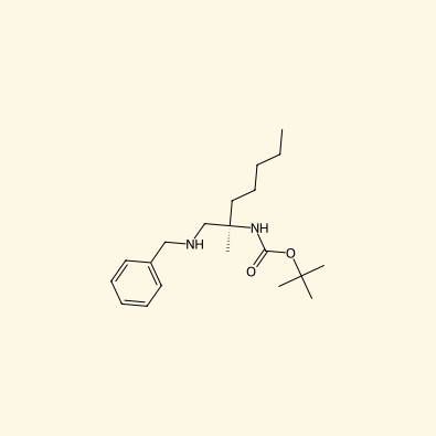 CCCCC[C@](C)(CNCc1ccccc1)NC(=O)OC(C)(C)C